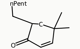 CCCCCCC1CC(C)(C)C=CC1=O